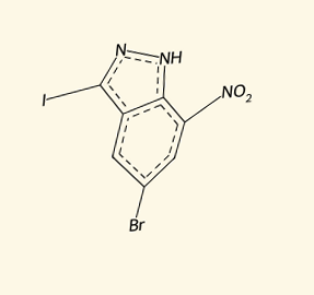 O=[N+]([O-])c1cc(Br)cc2c(I)n[nH]c12